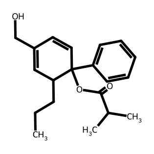 CCCC1C=C(CO)C=CC1(OC(=O)C(C)C)c1ccccc1